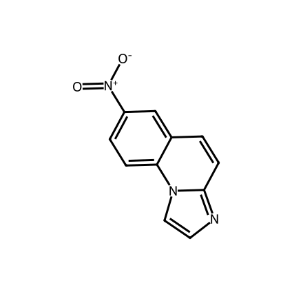 O=[N+]([O-])c1ccc2c(ccc3nccn32)c1